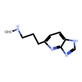 O=[C]NCCCc1ccc2[nH]cnc2n1